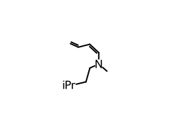 C=C/C=C\N(C)CCC(C)C